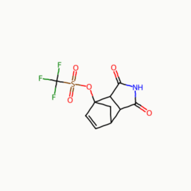 O=C1NC(=O)C2C1C1C=CC2(OS(=O)(=O)C(F)(F)F)C1